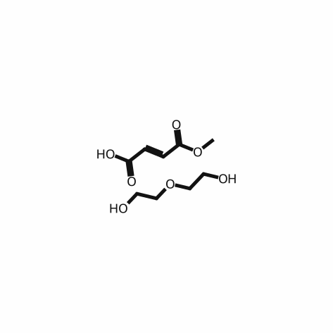 COC(=O)C=CC(=O)O.OCCOCCO